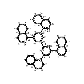 c1ccc2c(-c3cc(-c4cccc5ccccc45)nc(-c4cc(-c5nccc6ccccc56)cc(-c5nccc6ccccc56)c4)n3)cccc2c1